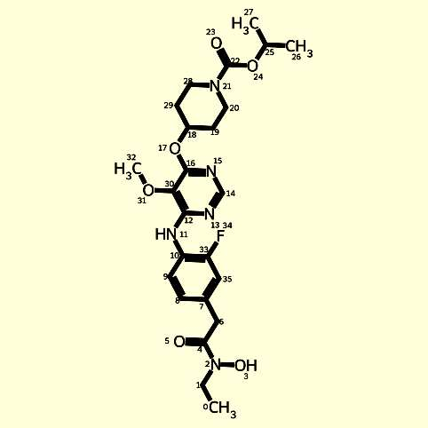 CCN(O)C(=O)Cc1ccc(Nc2ncnc(OC3CCN(C(=O)OC(C)C)CC3)c2OC)c(F)c1